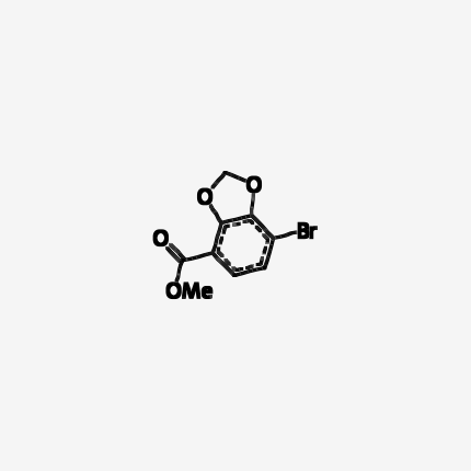 COC(=O)c1ccc(Br)c2c1OCO2